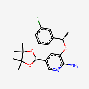 C[C@@H](Oc1cc(B2OC(C)(C)C(C)(C)O2)cnc1N)c1cccc(F)c1